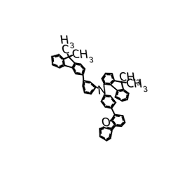 CC1(C)c2ccccc2-c2cc(-c3cccc(N(c4ccc(-c5cccc6c5oc5ccccc56)cc4)c4cccc5c4-c4ccccc4C5(C)C)c3)ccc21